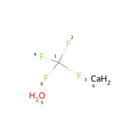 FC(F)(F)F.O.[CaH2]